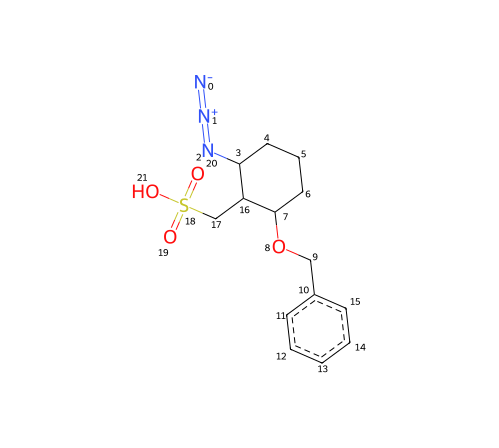 [N-]=[N+]=NC1CCCC(OCc2ccccc2)C1CS(=O)(=O)O